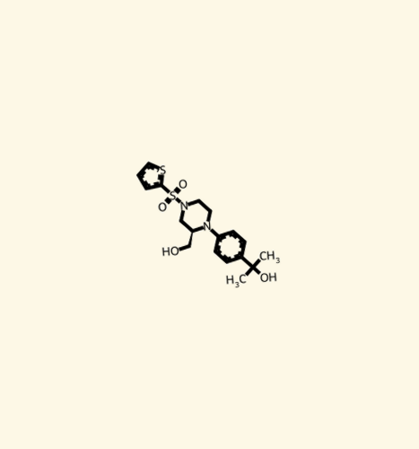 CC(C)(O)c1ccc(N2CCN(S(=O)(=O)c3cccs3)C[C@@H]2CO)cc1